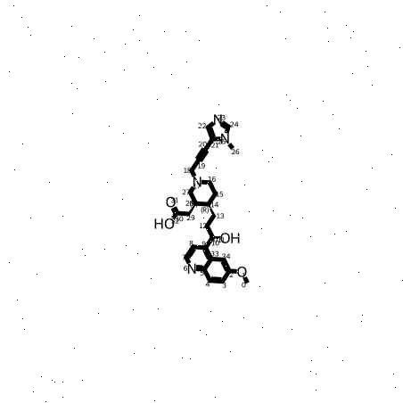 COc1ccc2nccc([C@H](O)CC[C@@H]3CCN(CC#Cc4cncn4C)C[C@@H]3CC(=O)O)c2c1